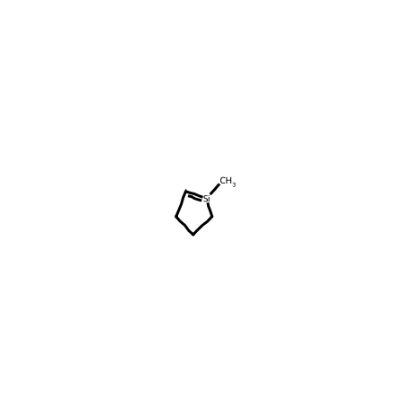 C[Si]1=[C]CCC1